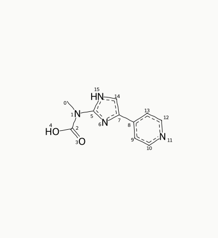 CN(C(=O)O)c1nc(-c2ccncc2)c[nH]1